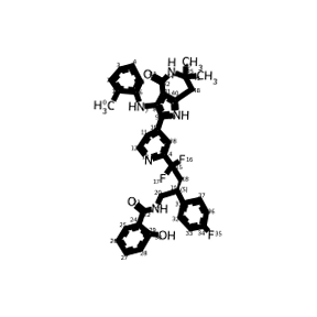 Cc1ccccc1Nc1c(-c2ccnc(C(F)(F)C[C@H](CNC(=O)c3ccccc3O)c3ccc(F)cc3)c2)[nH]c2c1C(=O)NC(C)(C)C2